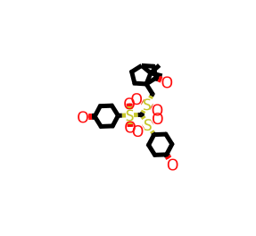 CC1(C)C2CCC1(CS(=O)(=O)C(S(=O)(=O)C1CCC(=O)CC1)S(=O)(=O)C1CCC(=O)CC1)C(=O)C2